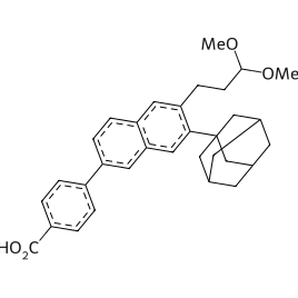 COC(CCc1cc2ccc(-c3ccc(C(=O)O)cc3)cc2cc1C12CC3CC(CC(C3)C1)C2)OC